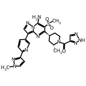 C[C@@H]1C[C@@H](c2nc3c(-c4ccc(-c5ccn(C)n5)nc4)cnn3c(N)c2S(C)(=O)=O)CCN1C(=O)c1cn[nH]n1